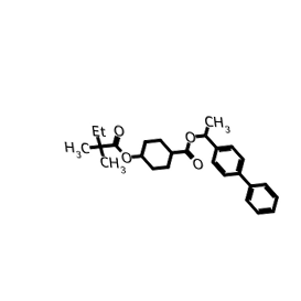 CCC(C)(C)C(=O)OC1CCC(C(=O)OC(C)c2ccc(-c3ccccc3)cc2)CC1